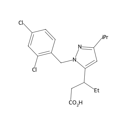 CCC(CC(=O)O)c1cc(C(C)C)nn1Cc1ccc(Cl)cc1Cl